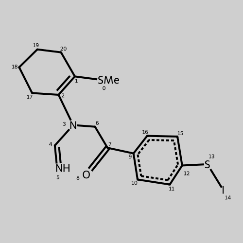 CSC1=C(N(C=N)CC(=O)c2ccc(SI)cc2)CCCC1